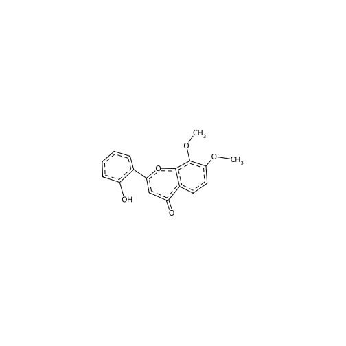 COc1ccc2c(=O)cc(-c3ccccc3O)oc2c1OC